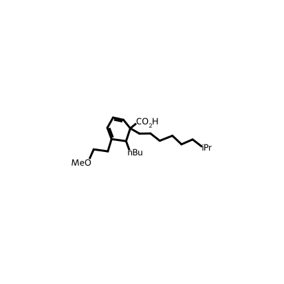 CCCCC1C(CCOC)=CC=CC1(CCCCCCC(C)C)C(=O)O